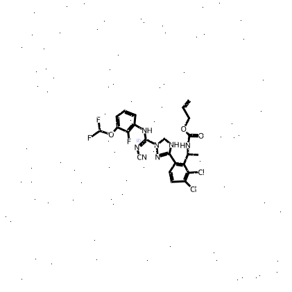 C=CCOC(=O)NC(C)c1c(C2=NN(/C(=N\C#N)Nc3cccc(OC(F)F)c3F)CN2)ccc(Cl)c1Cl